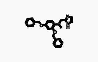 CC(Cc1ncc[nH]1)c1ccc(OCc2ccccc2)cc1OCc1ccccc1